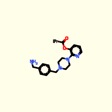 CC(C)C(=O)Oc1cccnc1N1CCN(Cc2ccc(CN)cc2)CC1